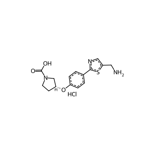 Cl.NCc1cnc(-c2ccc(O[C@@H]3CCN(C(=O)O)C3)cc2)s1